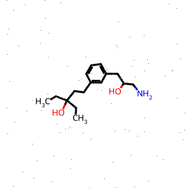 CCC(O)(CC)CCc1cccc(CC(O)CN)c1